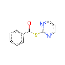 O=C(Sc1ncccn1)c1ccccc1